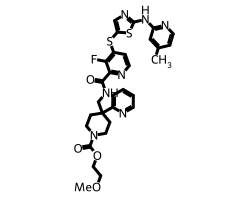 COCCOC(=O)N1CCC(CNC(=O)c2nccc(Sc3cnc(Nc4cc(C)ccn4)s3)c2F)(c2ccccn2)CC1